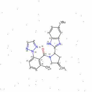 C=C1CC(c2nc3cc(C(C)(C)C)ccc3[nH]2)N(C(=O)c2c(C)cccc2-n2nccn2)C1